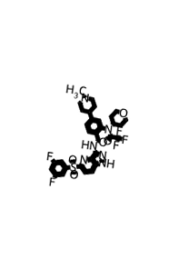 CN1CCC(c2ccc(C(=O)Nc3n[nH]c4ccc(S(=O)(=O)c5cc(F)cc(F)c5)nc34)c(N(C(=O)C(F)(F)F)C3CCOCC3)c2)CC1